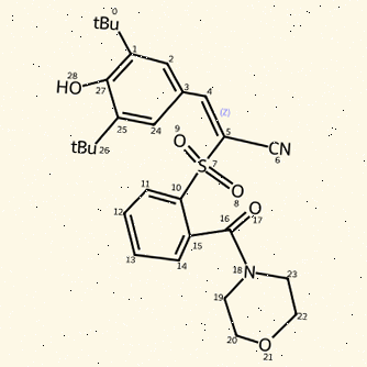 CC(C)(C)c1cc(/C=C(/C#N)S(=O)(=O)c2ccccc2C(=O)N2CCOCC2)cc(C(C)(C)C)c1O